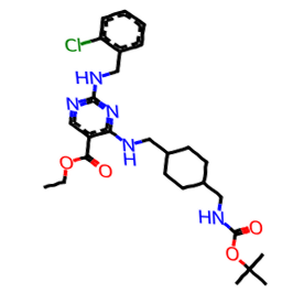 CCOC(=O)c1cnc(NCc2ccccc2Cl)nc1NCC1CCC(CNC(=O)OC(C)(C)C)CC1